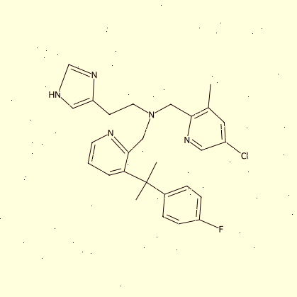 Cc1cc(Cl)cnc1CN(CCc1c[nH]cn1)Cc1ncccc1C(C)(C)c1ccc(F)cc1